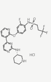 Cl.O=S(=O)(CCC(F)(F)F)Nc1ccc(Oc2ncccc2-c2ccnc(N[C@H]3CCCNC3)n2)cc1F